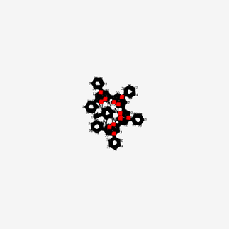 C#Cc1c(-n2c3c(c4c2C=CCC4)CCC=C3)c(-n2c3c(c4cc(-c5ccccc5)ccc42)CC(C2=CCCC=C2)C=C3)c(-n2c3ccccc3c3ccccc32)c(-n2c3c(c4cc(C5=CCCC=C5)ccc42)CC(C2C=CC=CC2)C=C3)c1-n1c2c(c3c1C=CCC3)CCC=C2